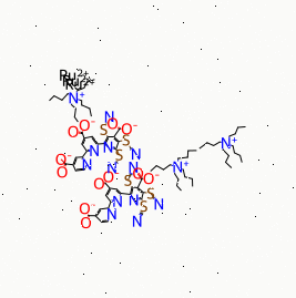 CCCC[N+](CCCC)(CCCC)CCCC.CCCC[N+](CCCC)(CCCC)CCCC.CCCC[N+](CCCC)(CCCC)CCCC.N#CSc1nc(-c2cc(C(=O)[O-])cc(-c3cc(C(=O)[O-])ccn3)n2)c(SC#N)c(C(=O)[O-])c1SC#N.N#CSc1nc(-c2cc(C(=O)[O-])cc(-c3cc(C(=O)[O-])ccn3)n2)c(SC#N)c(C(=O)[O-])c1SC#N.[Ru+2].[Ru+2].[Ru+2]